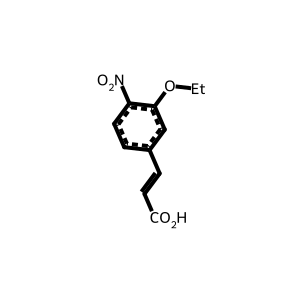 CCOc1cc(C=CC(=O)O)ccc1[N+](=O)[O-]